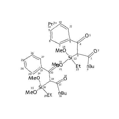 CCCCC(=O)C(C(=O)c1ccccc1)[Si](CC)(OC)OC.CCCCC(=O)C(C(=O)c1ccccc1)[Si](CC)(OC)OC.[Pt+2]